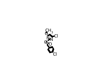 COc1cc(Cl)nc(S(=O)(=O)Cc2ccc(Cl)cc2)n1